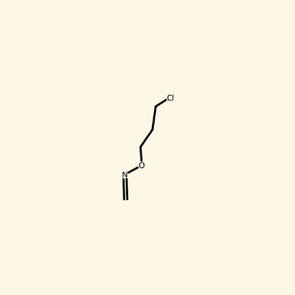 C=NOCCCCl